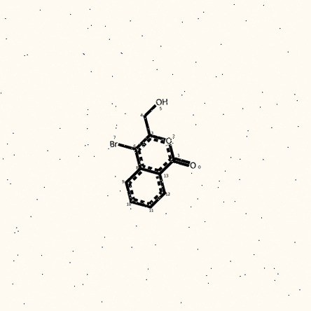 O=c1oc(CO)c(Br)c2ccccc12